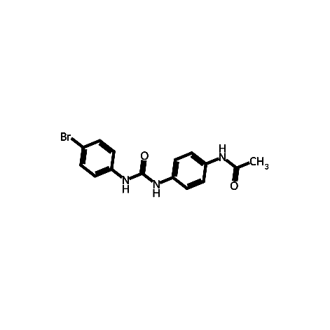 CC(=O)Nc1ccc(NC(=O)Nc2ccc(Br)cc2)cc1